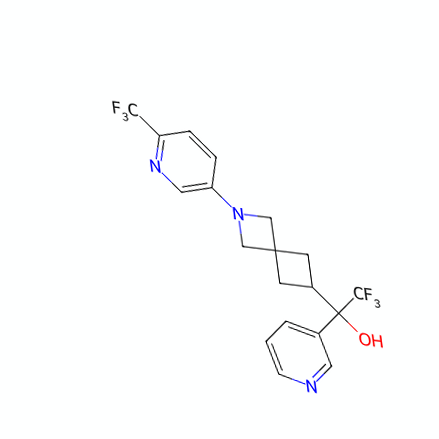 OC(c1cccnc1)(C1CC2(C1)CN(c1ccc(C(F)(F)F)nc1)C2)C(F)(F)F